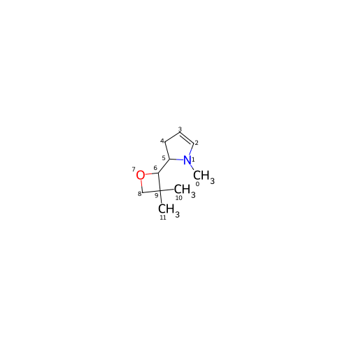 CN1C=CCC1C1OCC1(C)C